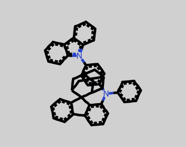 c1ccc(N(c2ccc(-n3c4ccccc4c4ccccc43)cc2)c2cccc3c2C2(c4ccccc4-3)C3CC4CC(C3)CC2C4)cc1